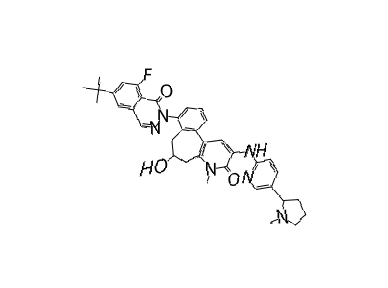 CN1CCCC1c1ccc(Nc2cc3c(n(C)c2=O)CC(O)Cc2c-3cccc2-n2ncc3cc(C(C)(C)C)cc(F)c3c2=O)nc1